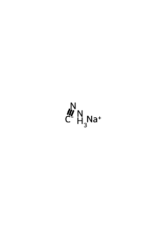 N.[C-]#N.[Na+]